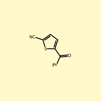 CC(C)C(=O)c1ccc(C#N)s1